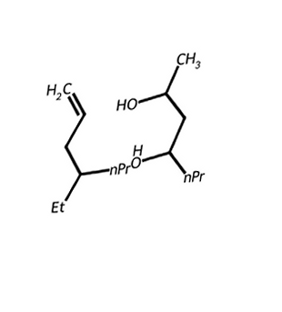 C=CCC(CC)CCC.CCCC(O)CC(C)O